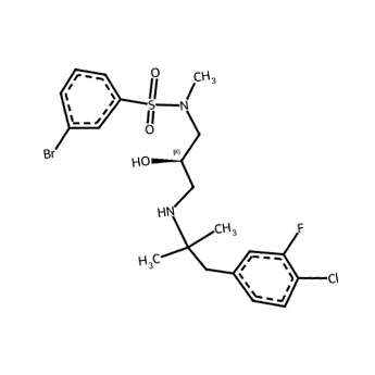 CN(C[C@H](O)CNC(C)(C)Cc1ccc(Cl)c(F)c1)S(=O)(=O)c1cccc(Br)c1